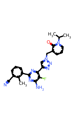 Cc1c(C#N)cccc1-c1nc(N)c(F)c(-c2cn(Cc3cccn(C(C)C)c3=O)nn2)n1